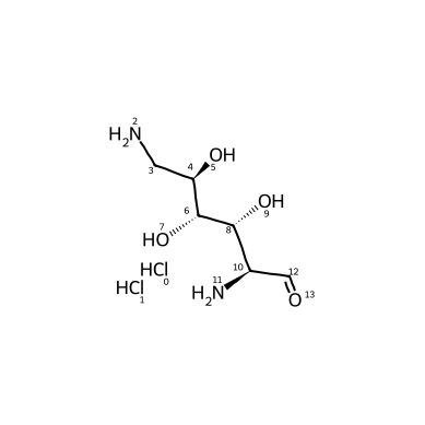 Cl.Cl.NC[C@@H](O)[C@@H](O)[C@H](O)[C@H](N)C=O